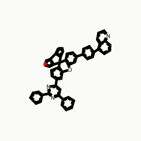 c1ccc(-c2cc(-c3ccc4c(c3)Oc3cc(-c5ccc(-c6cccc7ncccc67)cc5)ccc3C43c4ccccc4-c4ccccc43)nc(-c3ccccc3)n2)cc1